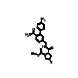 CC(C)(C)OC(=O)N1C[C@H](F)C[C@H]1C(=O)NCc1cc(-c2ccc(C(F)(F)F)cc2)c(C(N)=O)cn1